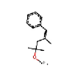 CC(=Cc1ccccc1)CC(C)(C)O[SiH3]